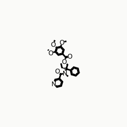 CC[C@@](COC(=O)c1cc(OC)c(OC)c(OC)c1)(c1ccccc1)N(C)C(=O)c1cccnc1